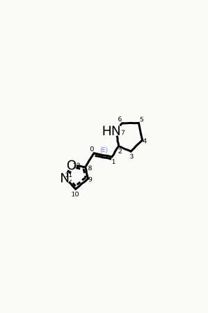 C(=C\C1CCCCN1)/c1ccno1